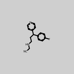 N#CCNC[CH]C(c1ccncc1)c1ccc(F)cc1